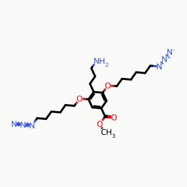 COC(=O)c1cc(OCCCCCCN=[N+]=[N-])c(CCCN)c(OCCCCCCN=[N+]=[N-])c1